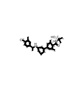 Cc1cc(C(C)Nc2cccc(-c3cc(C)c(C(=O)NC(C)(C)C(=O)O)c(C)c3)c2)ccc1Cl